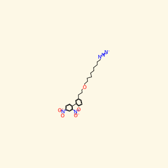 [N-]=[N+]=NCCCCCCCCCCOCCCc1cccc(-c2ccc([N+](=O)[O-])cc2[N+](=O)[O-])c1